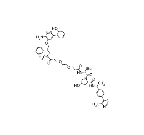 Cc1ncsc1-c1ccc(C(C)NC(=O)C2CC(O)CN2C(=O)C(NC(=O)CCOCCOCCC(=O)N(C)CC(COc2cc(-c3ccccc3O)nnc2N)c2ccccc2)C(C)(C)C)cc1